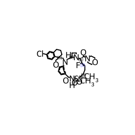 C[C@@H]1[C@@H](C)C/C=C(\F)[C@H](C(=O)N2CCOCC2)N2CC[C@H]2CN2C[C@@]3(CCCc4cc(Cl)ccc43)COc3ccc(cc32)C(=O)NS1(=O)=O